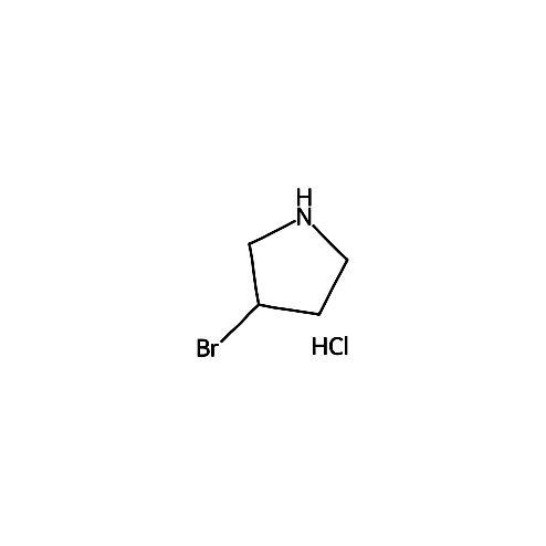 BrC1CCNC1.Cl